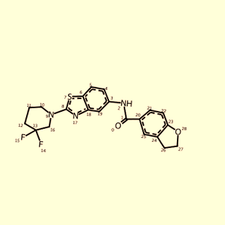 O=C(Nc1ccc2sc(N3CCCC(F)(F)C3)nc2c1)c1ccc2c(c1)CCO2